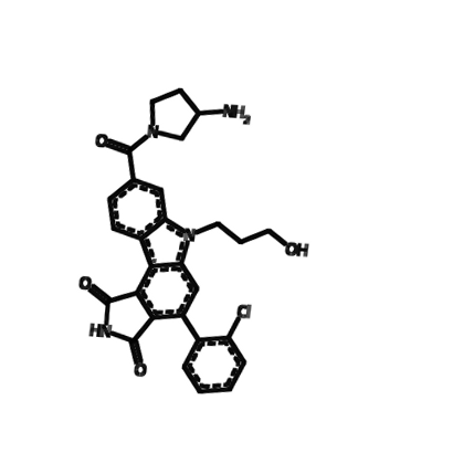 NC1CCN(C(=O)c2ccc3c4c5c(c(-c6ccccc6Cl)cc4n(CCCO)c3c2)C(=O)NC5=O)C1